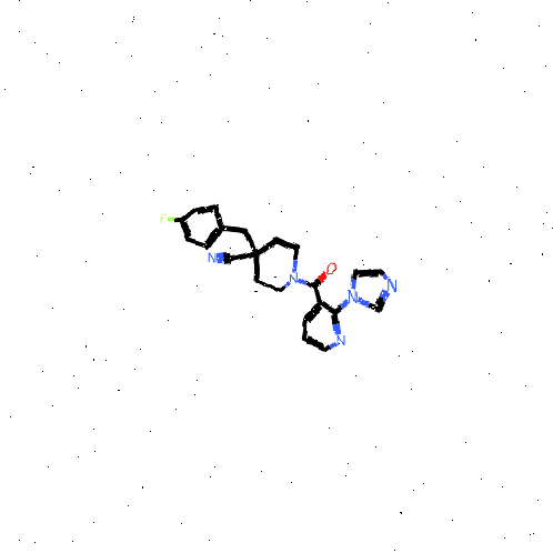 N#CC1(Cc2ccc(F)cc2)CCN(C(=O)c2cccnc2-n2ccnc2)CC1